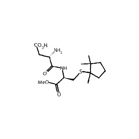 COC(=O)[C@H](CSC1(C)CCCC1(C)C)NC(=O)[C@@H](N)CC(=O)O